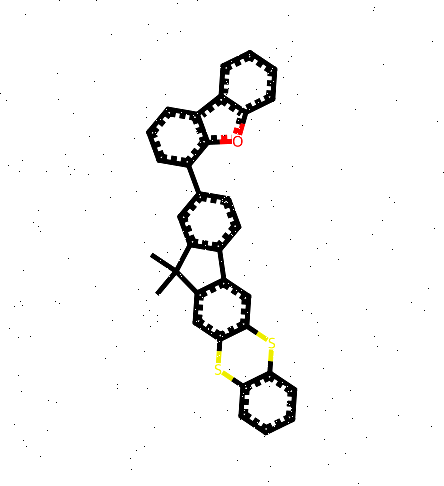 CC1(C)c2cc(-c3cccc4c3oc3ccccc34)ccc2-c2cc3c(cc21)Sc1ccccc1S3